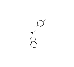 Cc1ccc(SCC(=O)N2Cc3ccccc3C2)cc1